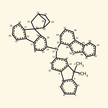 CC1(C)c2ccccc2-c2ccc(N(c3ccc4c(c3)C3(CC5CCC3C5)c3ccccc3-4)c3cccc4c3sc3ccccc34)cc21